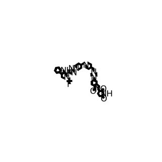 CC(C)(F)CN1CCc2c([nH]c3ccccc23)[C@H]1c1cnc(N2CCC(CN3CCC(CN4CCN(c5ccc6c(c5)CN(C5CCC(=O)NC5=O)C6=O)CC4)CC3)CC2)nc1